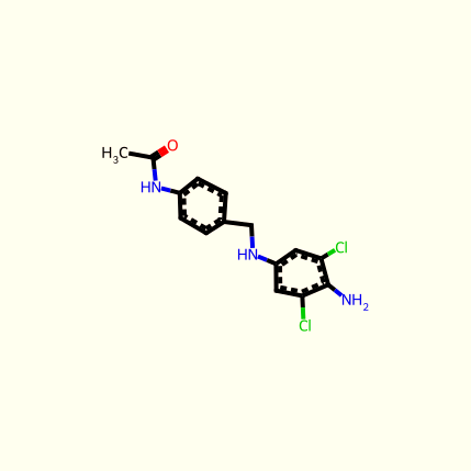 CC(=O)Nc1ccc(CNc2cc(Cl)c(N)c(Cl)c2)cc1